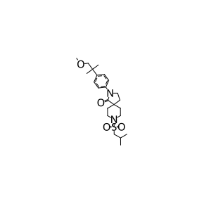 COCC(C)(C)c1ccc(N2CCC3(CCN(S(=O)(=O)CC(C)C)CC3)C2=O)cc1